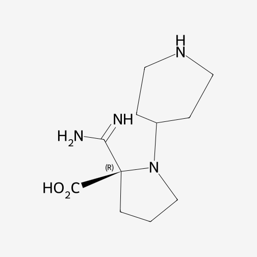 N=C(N)[C@@]1(C(=O)O)CCCN1C1CCNCC1